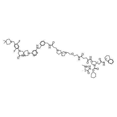 CN[C@@H](C)C(=O)N[C@H](C(=O)N1C[C@@H](NC(=O)CCC(=O)NCCOCCN2CC[C@]3(CCN(CCC(=O)NCc4cccc(CNc5cc(N6CCC7(CC6)CN(c6cc(F)c(CN8CCC(C)(C)CC8)cc6F)CC(=O)N7)ncn5)c4)C3)C2)C[C@H]1CC(=O)N[C@@H]1CCCc2ccccc21)C1CCCCC1